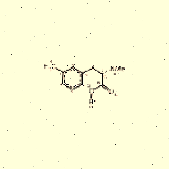 CN[C@@H](Cc1cccc(C)c1)C(=O)OBr